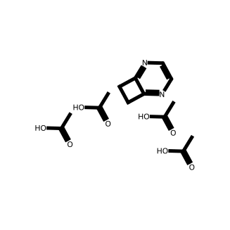 CC(=O)O.CC(=O)O.CC(=O)O.CC(=O)O.c1cnc2c(n1)CC2